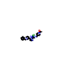 CC(=O)N1CCC(CNCc2c(Cl)nn3c(C4CCCN(Cc5ccccc5)C4)ccnc23)CC1